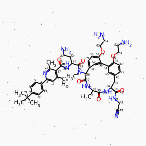 Cc1cc(-c2ccc(C(C)(C)C)cc2)nc(C)c1C(=O)NC(CCN)C(=O)N(C)C1C(=O)NC(C)C(=O)NC(C(=O)NCC#N)Cc2ccc(OCCN)c(c2)-c2cc1ccc2OCCN